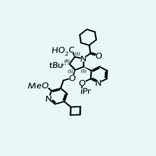 COc1ncc(C2CCC2)cc1CO[C@H]1[C@H](C(C)(C)C)[C@@H](C(=O)O)N(C(=O)C2CCCCC2)[C@H]1c1cccnc1OC(C)C